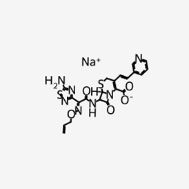 C=CCON=C(C(=O)NC1C(=O)N2C(C(=O)[O-])=C(C=Cc3cccnc3)CS[C@@H]12)c1nsc(N)n1.[Na+]